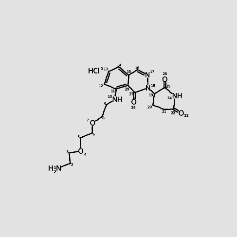 Cl.NCCOCCOCCNc1cccc2cnn(C3CCC(=O)NC3=O)c(=O)c12